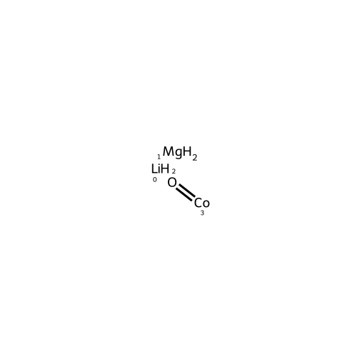 [LiH].[MgH2].[O]=[Co]